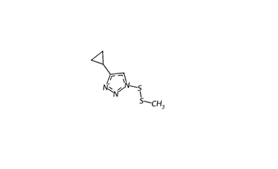 CSSn1cc(C2CC2)nn1